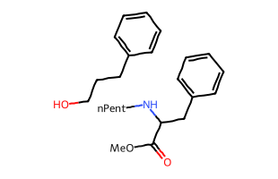 CCCCCNC(Cc1ccccc1)C(=O)OC.OCCCc1ccccc1